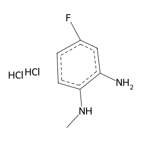 CNc1ccc(F)cc1N.Cl.Cl